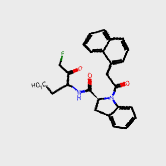 O=C(O)CC(NC(=O)[C@@H]1Cc2ccccc2N1C(=O)Cc1cccc2ccccc12)C(=O)CF